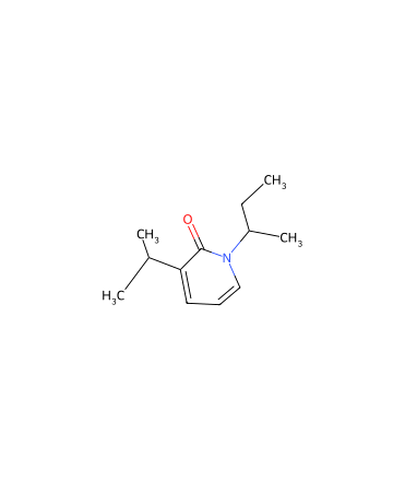 CCC(C)n1cccc(C(C)C)c1=O